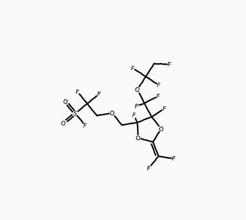 O=S(=O)(F)C(F)(F)COCC1(F)OC(=C(F)F)OC1(F)C(F)(F)OC(F)(F)CF